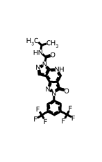 CC(C)NC(=O)n1ncc2c3nn(-c4cc(C(F)(F)F)cc(C(F)(F)F)c4)c(=O)c-3c[nH]c21